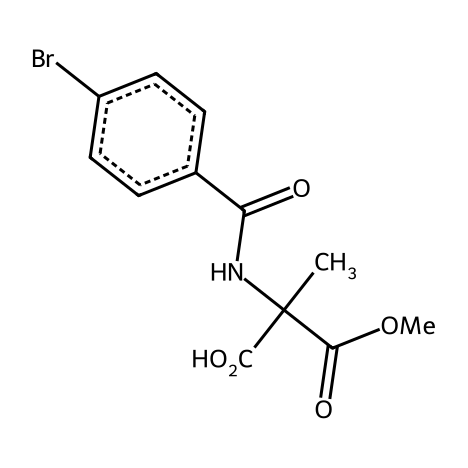 COC(=O)C(C)(NC(=O)c1ccc(Br)cc1)C(=O)O